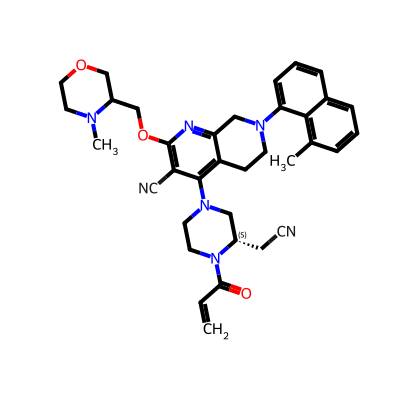 C=CC(=O)N1CCN(c2c(C#N)c(OCC3COCCN3C)nc3c2CCN(c2cccc4cccc(C)c24)C3)C[C@@H]1CC#N